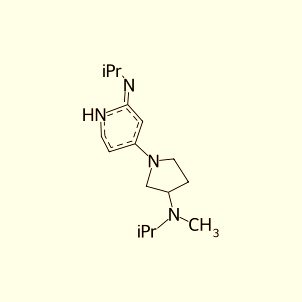 CC(C)/N=c1/cc(N2CCC(N(C)C(C)C)C2)cc[nH]1